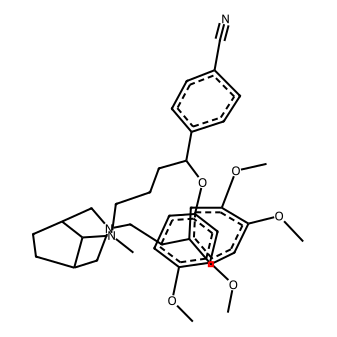 COc1ccc(CCN2CC3CCC(C2)C3N(C)CCCC(Oc2ccc(OC)c(OC)c2)c2ccc(C#N)cc2)cc1OC